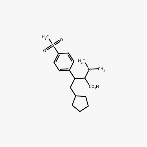 CN(C)C(C(=O)O)C(CC1CCCC1)c1ccc(S(C)(=O)=O)cc1